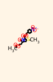 CCSC1=C(C(=O)OCc2ccc([N+](=O)[O-])cc2)N2C(=O)C(CCOC(C)=O)C2C1